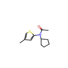 CC(=O)N(c1cc(C)cs1)C1CCCC1